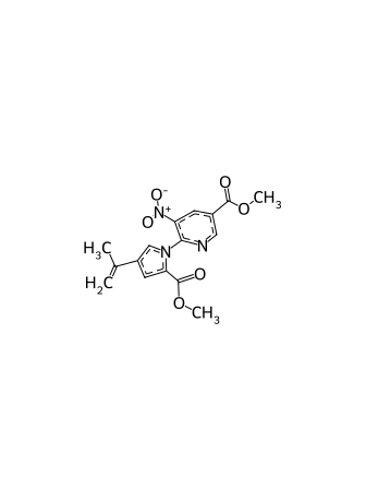 C=C(C)c1cc(C(=O)OC)n(-c2ncc(C(=O)OC)cc2[N+](=O)[O-])c1